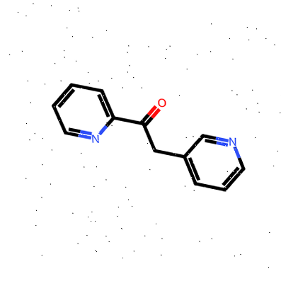 O=C(Cc1cccnc1)c1ccccn1